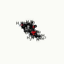 CCCC[C@@H](C(=O)N(C)[C@@H](CCCC)C(=O)N[C@@H](CCN)C(=O)N[C@@H](CSC)C(=O)NCC(N)=O)N(C)C(=O)[C@H](Cc1c[nH]c2ccccc12)NC(=O)[C@H](CO)NC(=O)[C@H](Cc1c[nH]c2ccccc12)NC(=O)[C@@H]1C[C@@H](O)CN1C(=O)[C@H](CCC(N)=O)NC(=O)[C@H](CN)NC(=O)[C@@H]1CCCN1C(=O)[C@H](CC(N)=O)NC(=O)[C@H](C)N(C)C(=O)[C@H](Cc1ccc(O)cc1)NC(C)=O